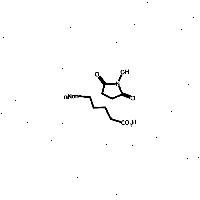 CCCCCCCCCCCCCC(=O)O.O=C1CCC(=O)N1O